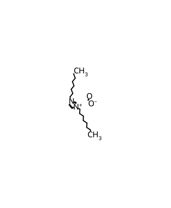 CCCCCCCCn1cc[n+](CCCCCCCC)c1.O=C[O-]